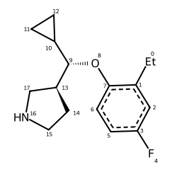 CCc1cc(F)ccc1O[C@@H](C1CC1)[C@H]1CCNC1